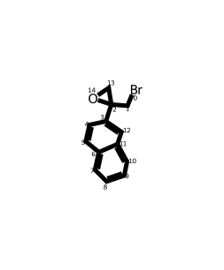 BrCC1(c2ccc3ccccc3c2)CO1